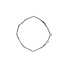 [CH]1CCCCCCCCCOO1